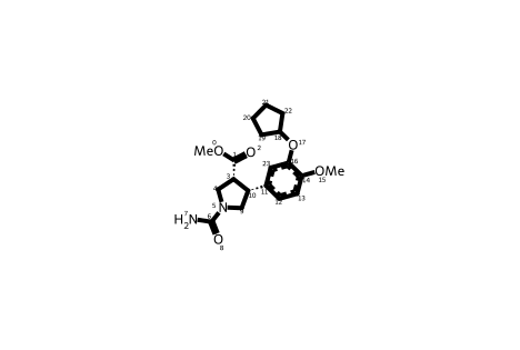 COC(=O)[C@H]1CN(C(N)=O)C[C@H]1c1ccc(OC)c(OC2CCCC2)c1